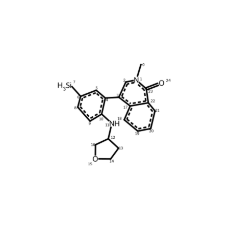 Cn1cc(-c2cc([SiH3])ccc2NC2CCOC2)c2ccccc2c1=O